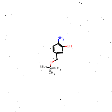 CC(C)(C)[Si](C)(C)OCc1ccc(N)c(O)c1